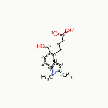 Cc1cc2c(CCCC(=O)O)c(CO)ccc2n1C